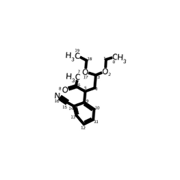 CCOC(CC(C(C)=O)c1ccccc1C#N)OCC